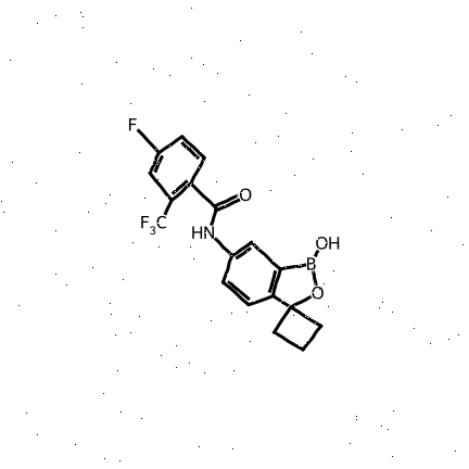 O=C(Nc1ccc2c(c1)B(O)OC21CCC1)c1ccc(F)cc1C(F)(F)F